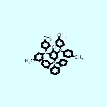 Cc1ccc(N(c2ccc(C)cc2)c2cc([Si](c3ccccc3)(c3ccccc3)c3ccccc3)cc(N(c3ccc(C)cc3)c3ccc(C)cc3)c2Cl)cc1